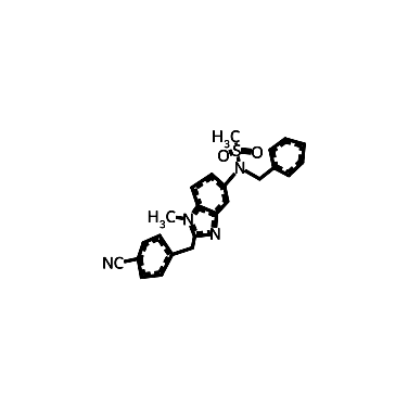 Cn1c(Cc2ccc(C#N)cc2)nc2cc(N(Cc3ccccc3)S(C)(=O)=O)ccc21